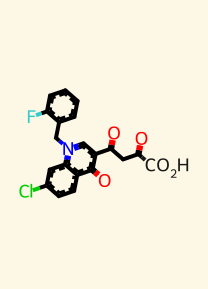 O=C(O)C(=O)CC(=O)c1cn(Cc2ccccc2F)c2cc(Cl)ccc2c1=O